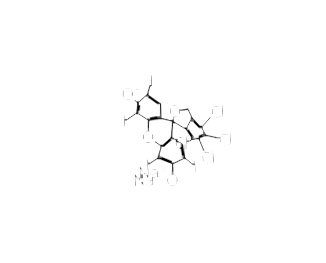 [Na+].[Na+].[O-]c1c(I)cc2c(c1I)Oc1c(cc(I)c([O-])c1I)C21OCc2c(Cl)c(Cl)c(Cl)c(Cl)c21